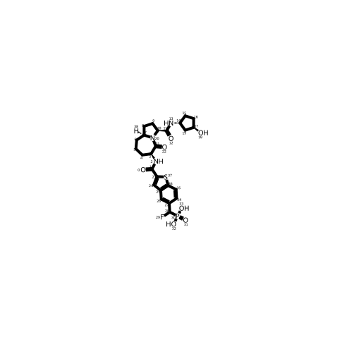 O=C(N[C@H]1CCC[C@H]2CC[C@@H](C(=O)N[C@@H]3CC[C@@H](O)C3)N2C1=O)c1cc2cc(C(F)P(=O)(O)O)ccc2s1